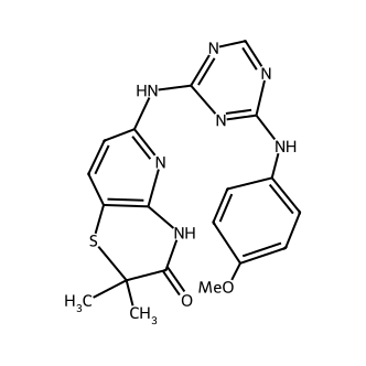 COc1ccc(Nc2ncnc(Nc3ccc4c(n3)NC(=O)C(C)(C)S4)n2)cc1